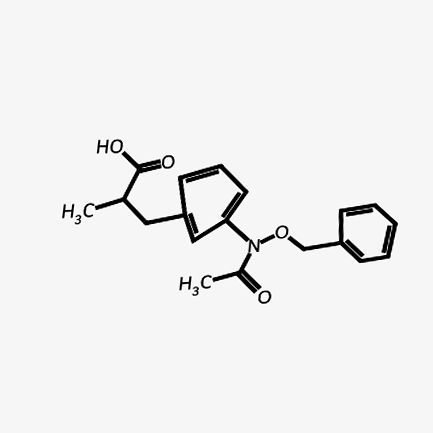 CC(=O)N(OCc1ccccc1)c1cccc(CC(C)C(=O)O)c1